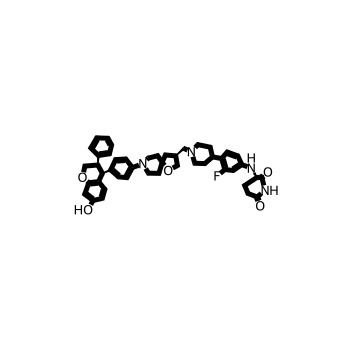 O=C1CC[C@@H](Nc2ccc(C3CCN(C[C@H]4COC5(CCN(c6ccc([C@H]7c8ccc(O)cc8OC[C@H]7c7ccccc7)cc6)CC5)C4)CC3)c(F)c2)C(=O)N1